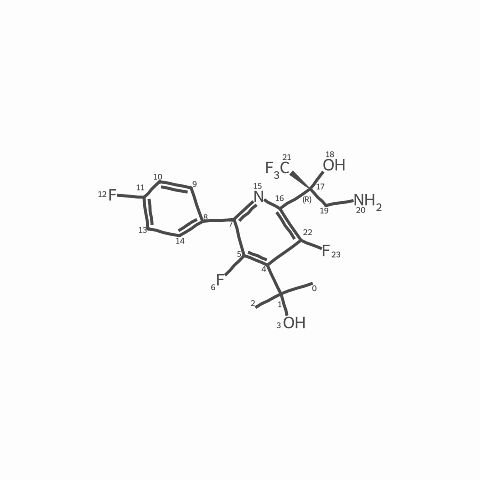 CC(C)(O)c1c(F)c(-c2ccc(F)cc2)nc([C@](O)(CN)C(F)(F)F)c1F